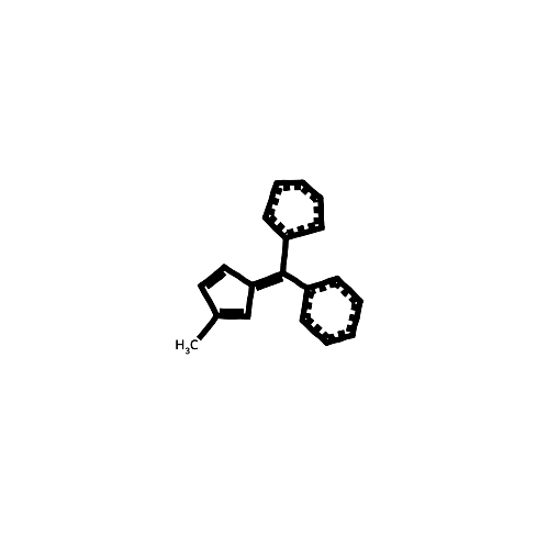 CC1=CC(=C(c2ccccc2)c2ccccc2)C=C1